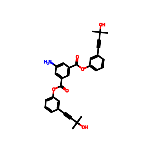 CC(C)(O)C#Cc1cccc(OC(=O)c2cc(N)cc(C(=O)Oc3cccc(C#CC(C)(C)O)c3)c2)c1